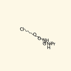 CC(C)NCC(=O)NCCOCCOCCCCCCCl